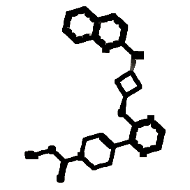 CC(C)(C)OC(=O)N1CC=C(c2nccnc2O[C@H]2C[C@H](Nc3ccc4ccccc4n3)C2)CC1